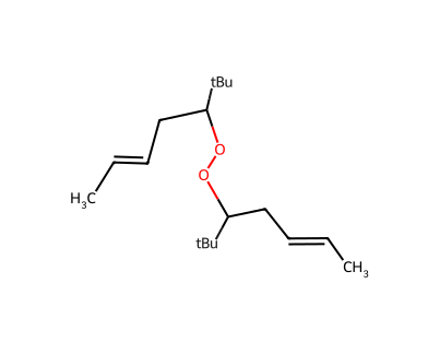 CC=CCC(OOC(CC=CC)C(C)(C)C)C(C)(C)C